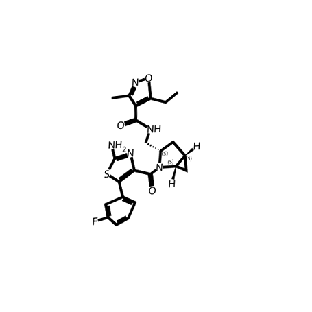 CCc1onc(C)c1C(=O)NC[C@@H]1C[C@@H]2C[C@@H]2N1C(=O)c1nc(N)sc1-c1cccc(F)c1